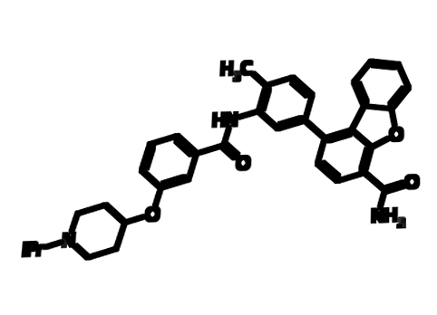 Cc1ccc(-c2ccc(C(N)=O)c3oc4ccccc4c23)cc1NC(=O)c1cccc(OC2CCN(C(C)C)CC2)c1